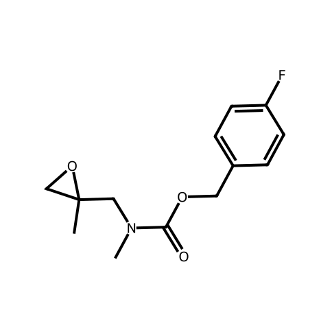 CN(CC1(C)CO1)C(=O)OCc1ccc(F)cc1